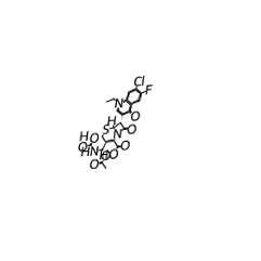 CCn1cc([C@@H]2C(=O)N3C(C(=O)O)=C(C(NC(=O)O)OC(C)=O)CS[C@H]23)c(=O)c2cc(F)c(Cl)cc21